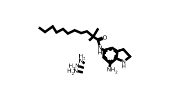 CCCCCCCCCC(C)(C)C(=O)Nc1cc(N)c2c(c1)CCN2.CN.CN.CN